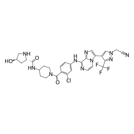 N#CCn1cc(-c2cnc3c(Nc4ccc(C(=O)N5CCC(NC(=O)[C@@H]6C[C@@H](O)CN6)CC5)c(Cl)c4)nccn23)c(C(F)(F)F)n1